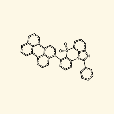 O=S1(=O)c2c(-c3ccc4c5cccc6cccc(c7cccc3c74)c65)cccc2-n2c(-c3ccccc3)nc3cccc1c32